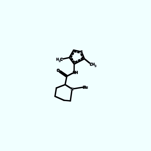 CCC(C)N1CCCCC1C(=O)Nc1c(C)csc1C